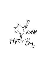 C=C[C](C)c1cccc(I)c1OC